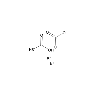 O=C(O)S.O=S([O-])[O-].[K+].[K+]